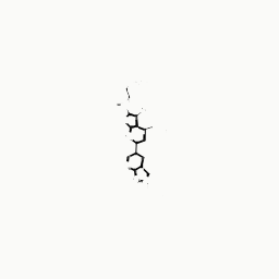 COCC[S+]([O-])c1sc2nc(-c3cnc4nn(C)cc4c3)cc(C(F)(F)F)c2c1N